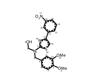 COc1ccc(CN(CO)c2nc(-c3cccc([N+](=O)[O-])c3)cs2)cc1OC